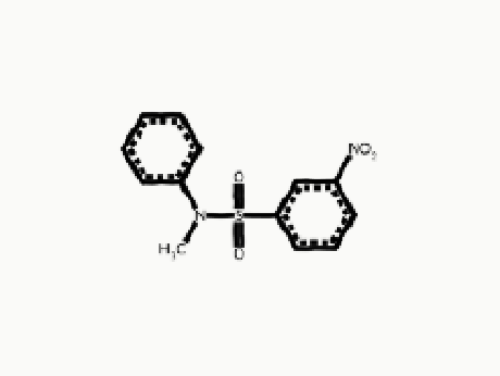 CN(c1ccccc1)S(=O)(=O)c1cccc([N+](=O)[O-])c1